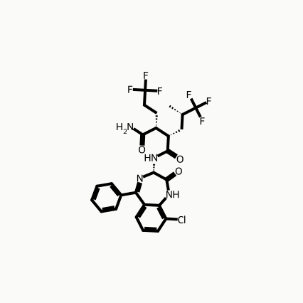 C[C@@H](C[C@H](C(=O)N[C@H]1N=C(c2ccccc2)c2cccc(Cl)c2NC1=O)[C@@H](CCC(F)(F)F)C(N)=O)C(F)(F)F